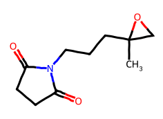 CC1(CCCN2C(=O)CCC2=O)CO1